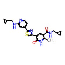 Cc1[nH]c(=O)c(-c2csc(-c3ccnc(NCC4CC4)c3)n2)cc1C(=O)NCC1CC1